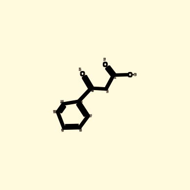 [O]C(=O)CC(=O)c1ccccc1